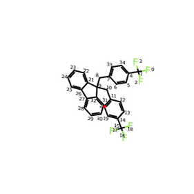 FC(F)(F)c1ccc(CC2(Cc3ccc(C(F)(F)F)cc3)c3ccccc3-c3ccccc32)cc1